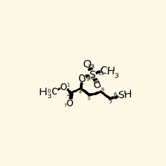 COC(=O)C(CCCS)OS(C)(=O)=O